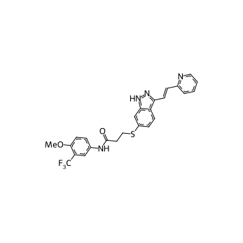 COc1ccc(NC(=O)CCSc2ccc3c(C=Cc4ccccn4)n[nH]c3c2)cc1C(F)(F)F